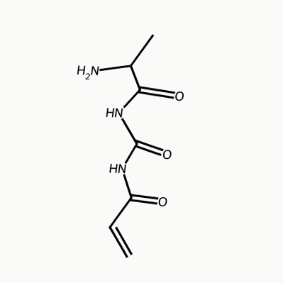 C=CC(=O)NC(=O)NC(=O)C(C)N